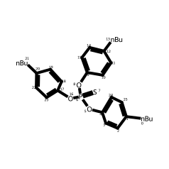 CCCCc1ccc(OP(=S)(Oc2ccc(CCCC)cc2)Oc2ccc(CCCC)cc2)cc1